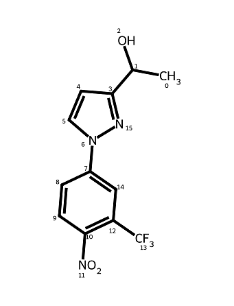 CC(O)c1ccn(-c2ccc([N+](=O)[O-])c(C(F)(F)F)c2)n1